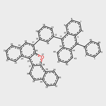 c1ccc(-c2c3ccccc3c(-c3cccc(-c4cc5ccccc5c5c4oc4c6ccccc6ccc45)c3)c3ccccc23)cc1